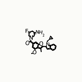 COc1cc(C(=O)N2C[C@H](N)C[C@@H](F)C2)cc2oc(-c3cc4ccccc4n3CC3CC3)c(C)c12